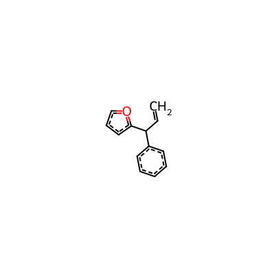 C=CC(c1ccccc1)c1ccco1